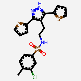 Cc1ccc(S(=O)(=O)NCCc2c(-c3cccs3)n[nH]c2-c2cccs2)cc1Cl